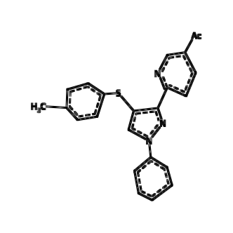 CC(=O)c1ccc(-c2nn(-c3ccccc3)cc2Sc2ccc(C)cc2)nc1